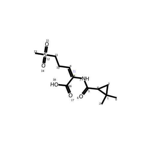 CC1(C)CC1C(=O)N/C(=C/CCS(C)(=O)=O)C(=O)O